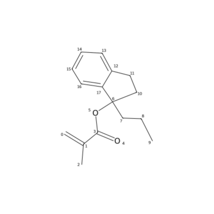 C=C(C)C(=O)OC1(CCC)CCc2ccccc21